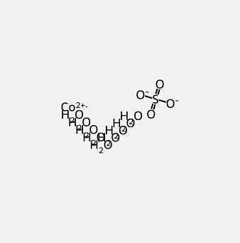 O.O.O.O.O.O.O.O.O.O=S(=O)([O-])[O-].[Co+2]